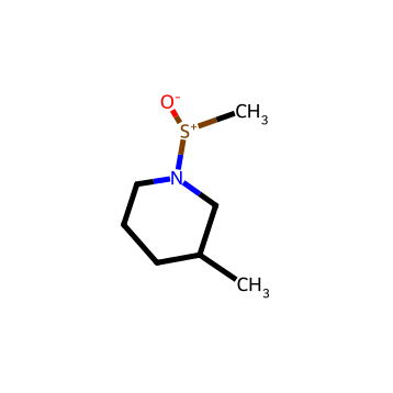 CC1CCCN([S+](C)[O-])C1